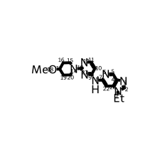 CCn1cnc2cnc(Nc3ccnc(N4CCC(OC)CC4)n3)cc21